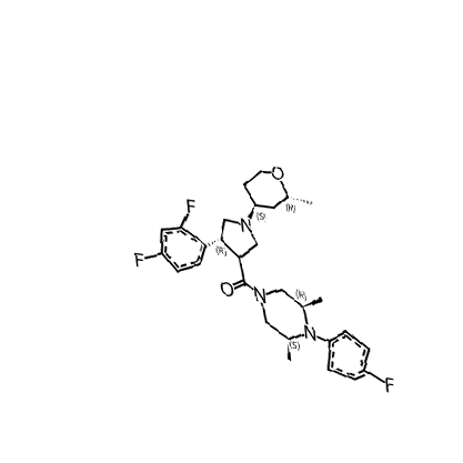 C[C@@H]1C[C@@H](N2CC(C(=O)N3C[C@@H](C)N(c4ccc(F)cc4)[C@@H](C)C3)[C@H](c3ccc(F)cc3F)C2)CCO1